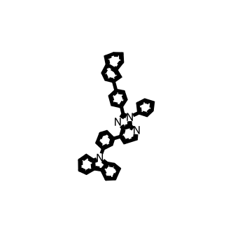 c1ccc(-n2c(-c3ccc(-c4ccc5ccccc5c4)cc3)nc3c(-c4cccc(-n5c6ccccc6c6ccccc65)c4)ccnc32)cc1